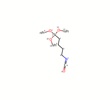 CCCO[Si](CCCCN=C=O)(OCCC)OCCC